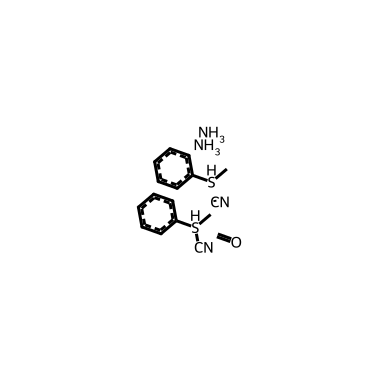 C=O.C[SH](C#N)c1ccccc1.C[SH](C#N)c1ccccc1.N.N